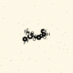 O=C(N[C@@H]1CC[C@@H](c2cccc(F)c2F)CN(CC(F)(F)F)C1=O)c1ccc2c(c1)C[C@]1(C2)C(=O)Nc2ncccc21